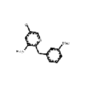 COc1cccc(Cc2ncc(Cl)cc2C(=O)O)c1